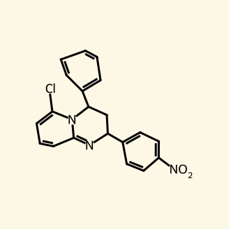 O=[N+]([O-])c1ccc(C2CC(c3ccccc3)N3C(Cl)=CC=CC3=N2)cc1